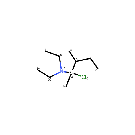 CCC(C)[Si](C)(Cl)N(CC)CC